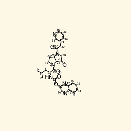 CC(C)CC(NC(=O)Oc1cnc2ccccc2n1)C(=O)N1CCC2C1C(=O)CN2C(=O)Cc1cccnc1